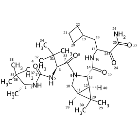 C[C@@H](NC(=O)N[C@H](C(=O)N1C[C@H]2[C@@H]([C@H]1C(=O)NC(CC1CCC1)C(=O)C(N)=O)C2(C)C)C(C)(C)C)C(C)(C)C